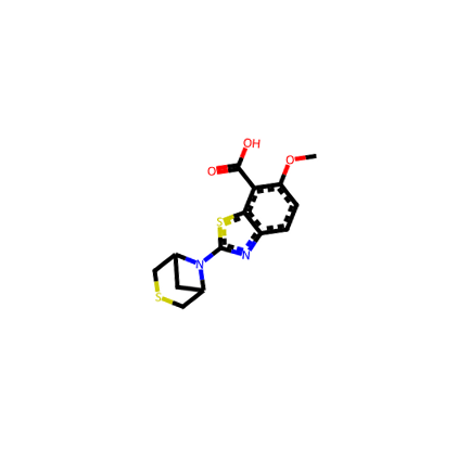 COc1ccc2nc(N3C4CSCC3C4)sc2c1C(=O)O